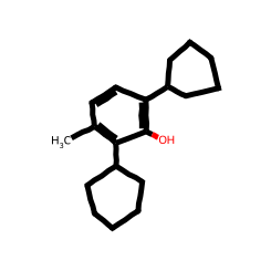 Cc1ccc(C2CCCCC2)c(O)c1C1CCCCC1